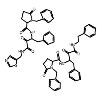 O=C(NCCc1ccccc1)C(=O)C(Cc1ccccc1)NC(=O)C1CCC(=O)N1Cc1ccccc1.O=C(NCc1cncs1)C(=O)C(Cc1ccccc1)NC(=O)C1CCC(=O)N1Cc1ccccc1